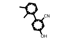 Cc1cccc(-c2ccc(O)cc2C#N)c1C